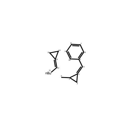 CC1CC1=Cc1ccccc1.CCCCC=C1CC1